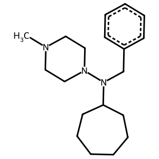 CN1CCN(N(Cc2ccccc2)C2CCCCCC2)CC1